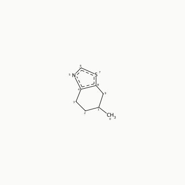 CC1CCc2n[c]sc2C1